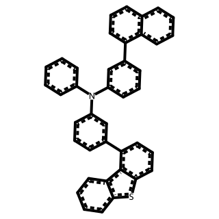 c1ccc(N(c2cccc(-c3cccc4ccccc34)c2)c2cccc(-c3cccc4sc5ccccc5c34)c2)cc1